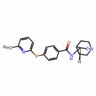 COc1cccc(Sc2ccc(C(=O)N[C@H]3CN4CCC3CC4)cc2)n1